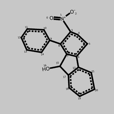 O=[N+]([O-])c1ccc2c(c1-c1ccccc1)C(O)c1ccccc1-2